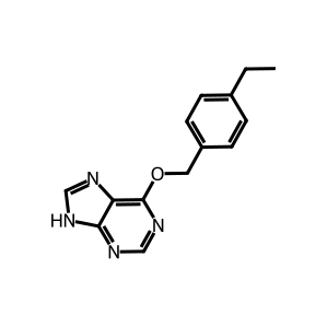 CCc1ccc(COc2ncnc3[nH]cnc23)cc1